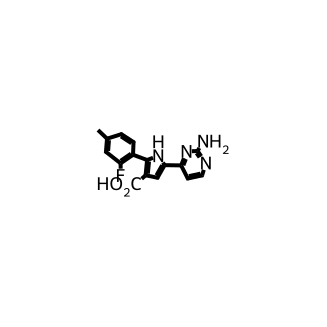 Cc1ccc(-c2[nH]c(-c3ccnc(N)n3)cc2C(=O)O)c(F)c1